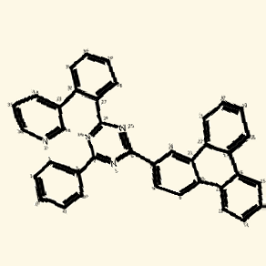 c1ccc(-c2nc(-c3ccc4c5ccccc5c5ccccc5c4c3)nc(-c3ccccc3-c3cccnc3)n2)cc1